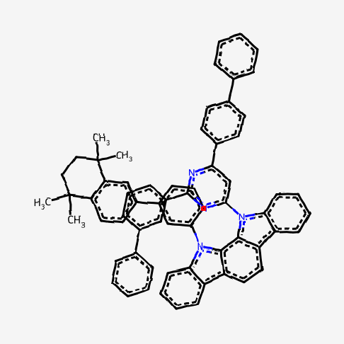 CC1(C)CCC(C)(C)c2cc(-c3cccc(-n4c5ccccc5c5ccc6c7ccccc7n(-c7cc(-c8ccc(-c9ccccc9)cc8)nc(-c8cccc(-c9ccccc9)c8)n7)c6c54)c3)ccc21